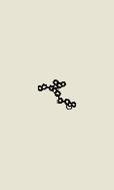 c1cc(-c2ccc(N(c3ccc(-c4ccc5ccccc5c4)cc3)c3cc4ccccc4c4ccccc34)cc2)cc(-c2ccc3c(c2)oc2ccccc23)c1